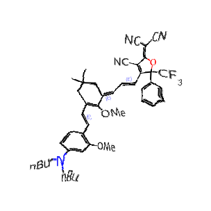 CCCCN(CCCC)c1ccc(/C=C/C2=C(OC)C(=C/C=C/C3=C(C#N)C(=C(C#N)C#N)OC3(c3ccccc3)C(F)(F)F)/CC(C)(C)C2)c(OC)c1